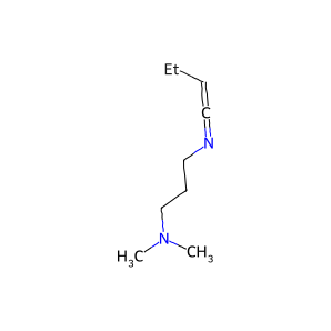 CCC=C=NCCCN(C)C